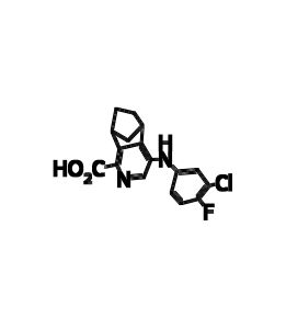 O=C(O)c1ncc(Nc2ccc(F)c(Cl)c2)c2c1C1CCC2C1